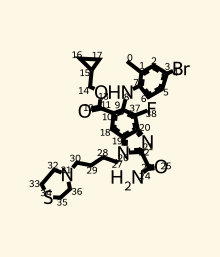 Cc1cc(Br)ccc1Nc1c(C(=O)OCC2CC2)cc2c(nc(C(N)=O)n2CCCCN2CCSCC2)c1F